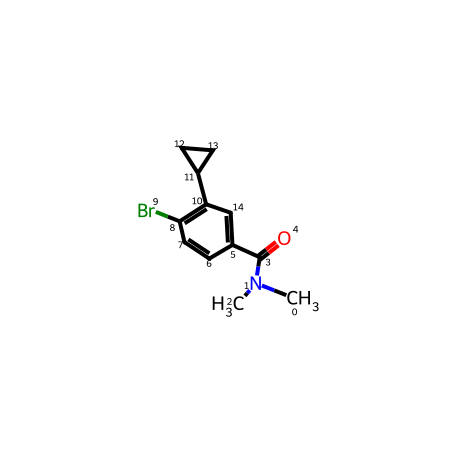 CN(C)C(=O)c1ccc(Br)c(C2CC2)c1